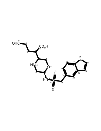 O=CCCC(C(=O)O)C1CO[C@@H](NS(=O)(=O)Cc2ccc3sccc3c2)CN1